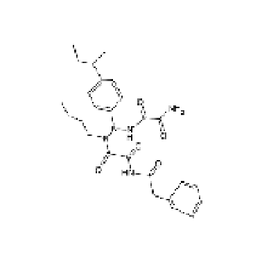 CCCCN(C(=O)C(=O)NC(=O)Cc1ccccc1)N(NC(=O)C(N)=O)c1ccc(C(C)CC)cc1